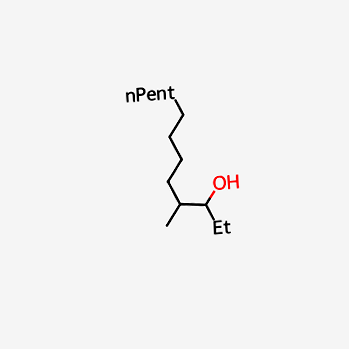 CCCCCCCCCC(C)C(O)CC